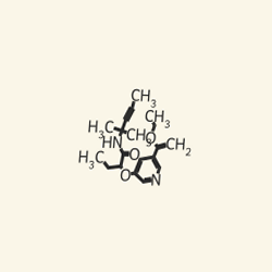 C=C(OCC)c1cncc(OC(CC)C(=O)NC(C)(C)C#CC)c1